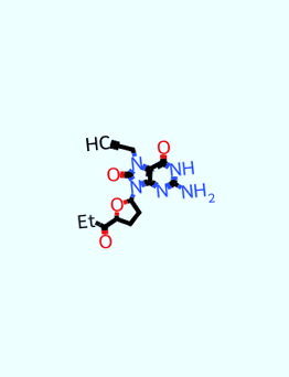 C#CCn1c(=O)n(C2CCC(C(=O)CC)O2)c2nc(N)[nH]c(=O)c21